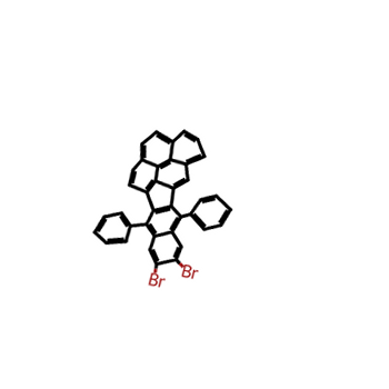 Brc1cc2c(-c3ccccc3)c3c(c(-c4ccccc4)c2cc1Br)-c1cc2cccc4ccc5ccc-3c1c5c42